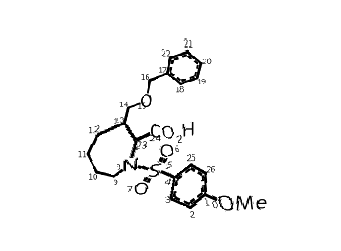 COc1ccc(S(=O)(=O)N2CCCCC(COCc3ccccc3)C2C(=O)O)cc1